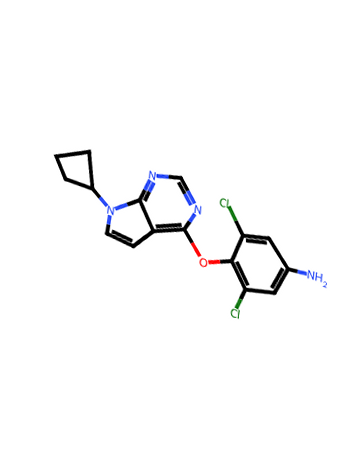 Nc1cc(Cl)c(Oc2ncnc3c2ccn3C2CCC2)c(Cl)c1